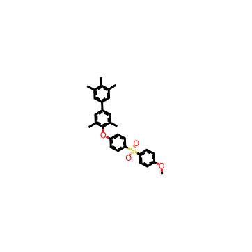 COc1ccc(S(=O)(=O)c2ccc(Oc3c(C)cc(-c4cc(C)c(C)c(C)c4)cc3C)cc2)cc1